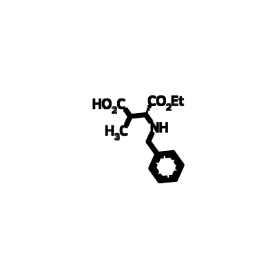 CCOC(=O)[C@H](NCc1ccccc1)C(C)C(=O)O